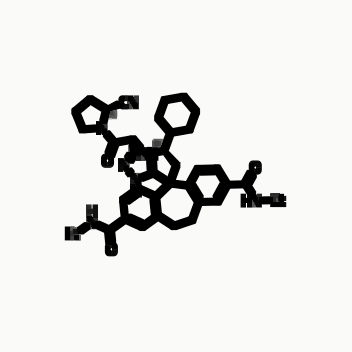 CCNC(=O)c1ccc2c(c1)CCc1cc(C(=O)NCC)ccc1C2(C[C@@H](NCC(=O)N1CCC[C@H]1C#N)C1CCCCC1)c1nnn[nH]1